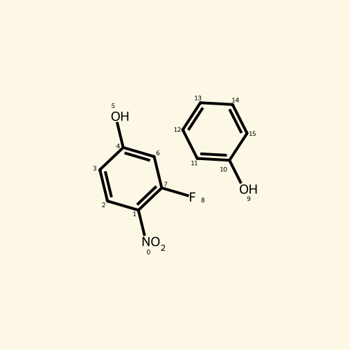 O=[N+]([O-])c1ccc(O)cc1F.Oc1ccccc1